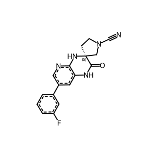 N#CN1CC[C@@]2(C1)Nc1ncc(-c3cccc(F)c3)cc1NC2=O